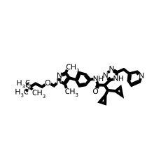 Cc1nn(COCC[Si](C)(C)C)c(C)c1-c1ccc(NC(=O)C(c2nnc(Cc3cccnc3)[nH]2)C(C2CC2)C2CC2)cc1